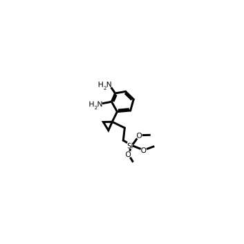 CO[Si](CCC1(c2cccc(N)c2N)CC1)(OC)OC